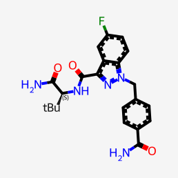 CC(C)(C)[C@H](NC(=O)c1nn(Cc2ccc(C(N)=O)cc2)c2ccc(F)cc12)C(N)=O